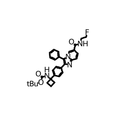 CC(C)(C)OC(=O)NC1(c2ccc(-c3nc4ccc(C(=O)NCCF)cn4c3-c3ccccc3)cc2)CCC1